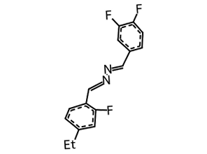 CCc1ccc(C=NN=Cc2ccc(F)c(F)c2)c(F)c1